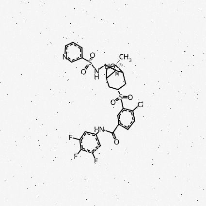 C[C@H]1CC2CC(S(=O)(=O)c3cc(C(=O)Nc4cc(F)c(F)c(F)c4)ccc3Cl)CC1[C@@]2(O)CNS(=O)(=O)c1cccnc1